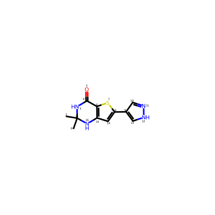 CC1(C)NC(=O)c2sc(-c3cn[nH]c3)cc2N1